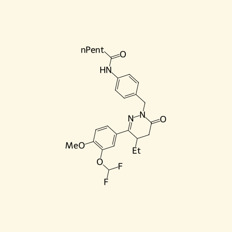 CCCCCC(=O)Nc1ccc(CN2N=C(c3ccc(OC)c(OC(F)F)c3)C(CC)CC2=O)cc1